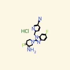 Cl.N#Cc1ccc(Cn2c(N3CC[C@H](F)[C@H](N)C3)nc3ccc(F)cc32)nc1